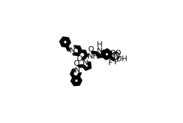 O=C(NC(CC1=CCN(Cc2ccccc2)CC1)C(=O)N1CCCC1C(=O)N1CCc2ccccc2C1)c1cc2cc(C(F)(F)P(=O)(O)O)ccc2[nH]1